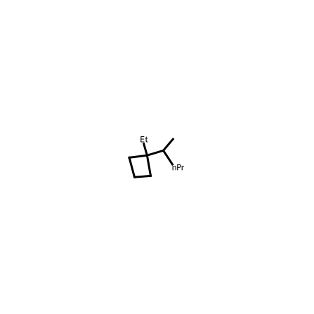 CCCC(C)C1(CC)CCC1